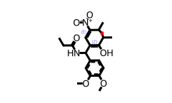 CCC(=O)NC(C(/C=C(\C(C)C)[N+](=O)[O-])=C(\O)C(C)C)c1ccc(OC)c(OC)c1